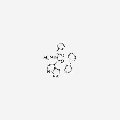 NN(C(=O)Cc1ccccc1)C(=O)c1ccnc2ccccc12.c1ccc(-c2ccccc2)cc1